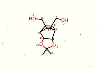 CC1(C)OC2C3C=CC(C(CO)C3CO)C2O1